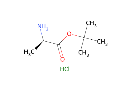 C[C@@H](N)C(=O)OC(C)(C)C.Cl